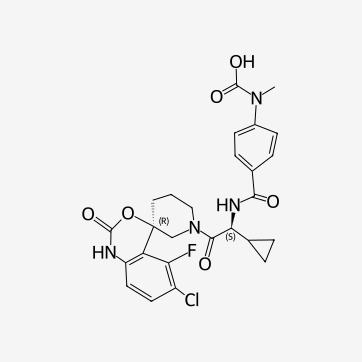 CN(C(=O)O)c1ccc(C(=O)N[C@H](C(=O)N2CCC[C@@]3(C2)OC(=O)Nc2ccc(Cl)c(F)c23)C2CC2)cc1